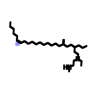 C=C(CCCCCCCCCC/C=C\CCCCC)CCC(CCC)CCN(CC)CCNC